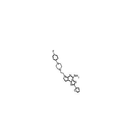 Nc1nc2c(ccn2CCN2CCN(c3ccc(F)cc3)CC2)c2nc(-c3ccco3)nn12